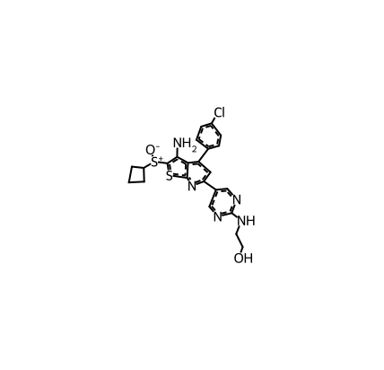 Nc1c([S+]([O-])C2CCC2)sc2nc(-c3cnc(NCCO)nc3)cc(-c3ccc(Cl)cc3)c12